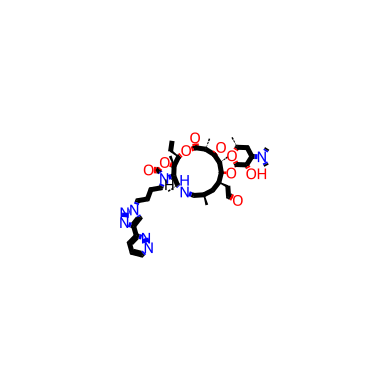 CC[C@H]1OC(=O)[C@H](C)C(=O)[C@H](C)[C@@H](O[C@@H]2O[C@H](C)CC(N(C)C)C2O)[C@@H](CC=O)C[C@@H](C)CN[C@H](C)[C@H]2N(CCCCn3cc(-c4cccnn4)nn3)C(=O)O[C@]12C